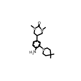 CN1CC(c2ccc(N)c(N3CCC(C)(C)CC3)c2)CN(C)C1=O